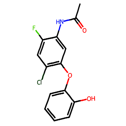 CC(=O)Nc1cc(Oc2ccccc2O)c(Cl)cc1F